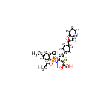 CCOP(=O)(Nc1cc(-c2ccc(-c3cc4ncccc4o3)cc2)sc1C(=O)O)c1ccc(C)cc1C